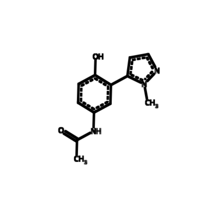 CC(=O)Nc1ccc(O)c(-c2ccnn2C)c1